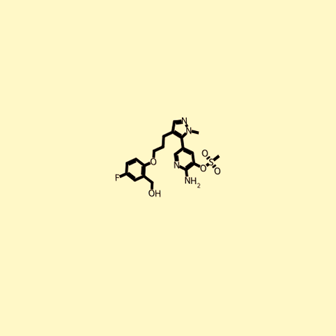 Cn1ncc(CCCOc2ccc(F)cc2CO)c1-c1cnc(N)c(OS(C)(=O)=O)c1